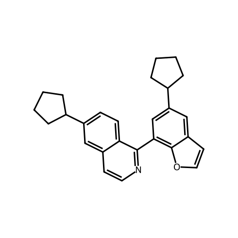 c1cc2cc(C3CCCC3)ccc2c(-c2cc(C3CCCC3)cc3ccoc23)n1